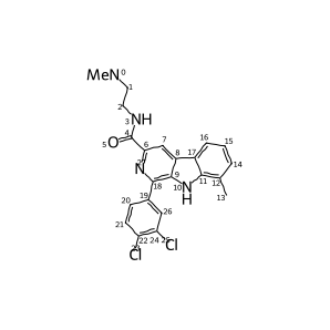 CNCCNC(=O)c1cc2c([nH]c3c(C)cccc32)c(-c2ccc(Cl)c(Cl)c2)n1